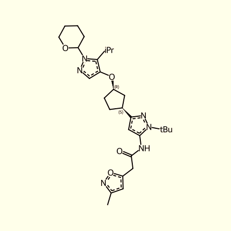 Cc1cc(CC(=O)Nc2cc([C@H]3CC[C@@H](Oc4cnn(C5CCCCO5)c4C(C)C)C3)nn2C(C)(C)C)on1